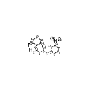 NCC(Cc1cccc([N+](=O)[O-])c1)Oc1cccc(F)c1